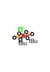 CC(C)(C)c1ccc([O][Zr+2][O]c2ccc(C(C)(C)C)cc2P(c2ccccc2)c2ccccc2)c(P(c2ccccc2)c2ccccc2)c1.[Cl-].[Cl-]